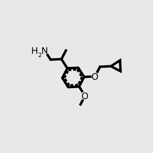 COc1ccc(C(C)CN)cc1OCC1CC1